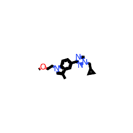 COCCn1cc(C)c2cc(-c3ncn(CC4CC4)n3)ccc21